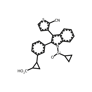 N#Cc1sccc1-c1c(-c2cccc(C3CC3C(=O)O)c2)n([S+]([O-])C2CC2)c2ccccc12